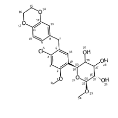 COc1cc(Cl)c(Cc2ccc3c(c2)OCCO3)cc1[C@@H]1O[C@H](OC)[C@@H](O)C(O)C1O